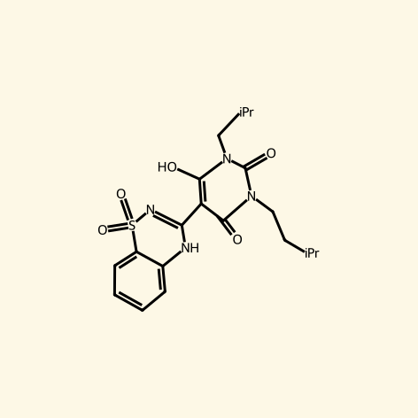 CC(C)CCn1c(=O)c(C2=NS(=O)(=O)c3ccccc3N2)c(O)n(CC(C)C)c1=O